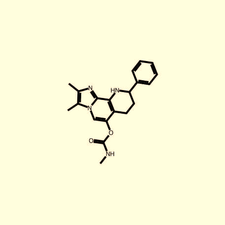 CNC(=O)Oc1cn2c(C)c(C)nc2c2c1CCC(c1ccccc1)N2